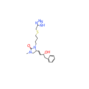 CN1C[C@H](/C=C/C(O)Cc2ccccc2)N(CCCCSCc2nnn[nH]2)C1=O